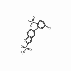 CS(=O)(=O)c1ccc(Cl)cc1-c1ccc2oc(S(N)(=O)=O)cc2c1